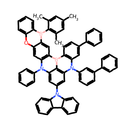 Cc1cc(C)c(B2c3ccccc3Oc3cc4c(cc32)B2c3ccc(-c5ccccc5)cc3N(c3cccc(-c5ccccc5)c3)c3cc(-n5c6ccccc6c6ccccc65)cc(c32)N4c2ccccc2)c(C)c1